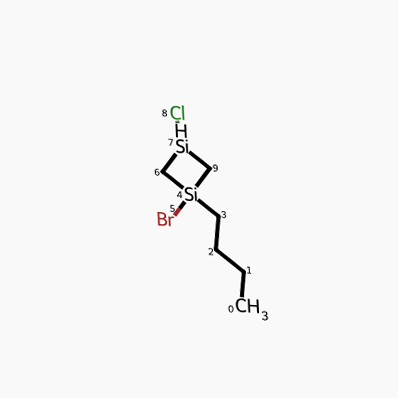 CCCC[Si]1(Br)C[SiH](Cl)C1